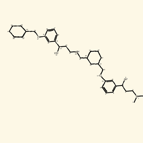 CN(C)CCC(O)c1cccc(OCC2CCCC(CNCCC(O)c3cccc(OCC4CCCCC4)c3)C2)c1